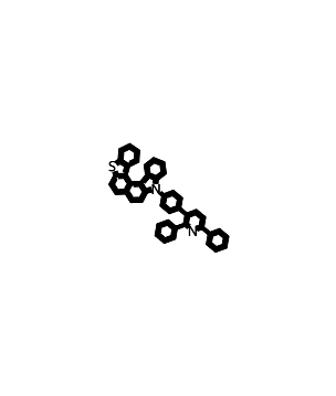 c1ccc(-c2ccc(-c3ccc(-n4c5ccccc5c5c6c(ccc7sc8ccccc8c76)ccc54)cc3)c(-c3ccccc3)n2)cc1